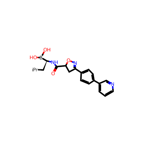 CC(C)C[C@H](NC(=O)C1CC(c2ccc(-c3cccnc3)cc2)=NO1)B(O)O